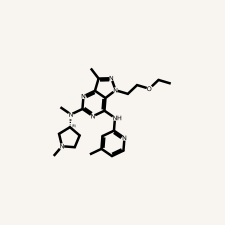 CCOCCn1nc(C)c2nc(N(C)[C@@H]3CCN(C)C3)nc(Nc3cc(C)ccn3)c21